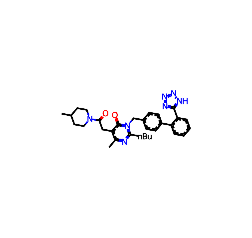 CCCCc1nc(C)c(CC(=O)N2CCC(C)CC2)c(=O)n1Cc1ccc(-c2ccccc2-c2nnn[nH]2)cc1